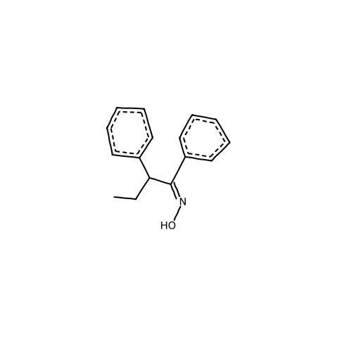 CCC(C(=NO)c1ccccc1)c1ccccc1